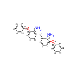 Nc1c(Cc2cccc(Oc3ccccc3)c2N)cccc1Oc1ccccc1